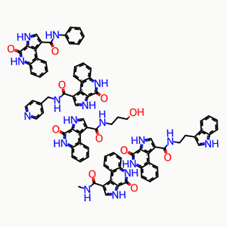 CNC(=O)c1c[nH]c2c(=O)[nH]c3ccccc3c12.O=C(NCCCO)c1c[nH]c2c(=O)[nH]c3ccccc3c12.O=C(NCCc1c[nH]c2ccccc12)c1c[nH]c2c(=O)[nH]c3ccccc3c12.O=C(NCc1ccncc1)c1c[nH]c2c(=O)[nH]c3ccccc3c12.O=C(Nc1ccccc1)c1c[nH]c2c(=O)[nH]c3ccccc3c12